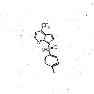 Cc1ccc(S(=O)(=O)n2ccc3c(C(F)(F)F)ccnc32)cc1